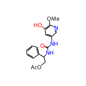 COc1ncc(NC(=O)NC(COC(C)=O)c2ccccc2)cc1O